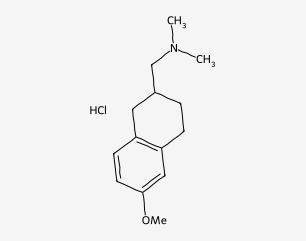 COc1ccc2c(c1)CCC(CN(C)C)C2.Cl